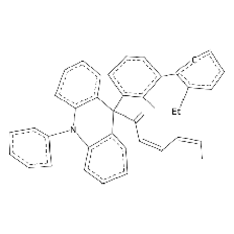 C=C(/C=C\C=C/C)C1(c2cccc(-c3ccccc3CC)c2C)c2ccccc2N(c2ccccc2)c2ccccc21